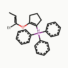 CC=C(CC)OC1=C([PH](c2ccccc2)(c2ccccc2)c2ccccc2)CCC1